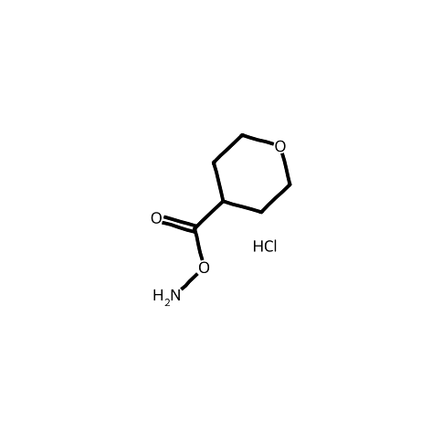 Cl.NOC(=O)C1CCOCC1